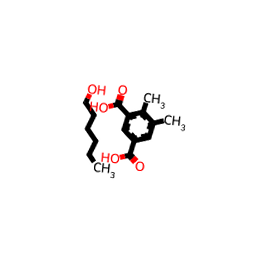 CCCCCCO.Cc1cc(C(=O)O)cc(C(=O)O)c1C